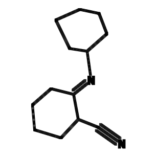 N#CC1CCCCC1=NC1CCCCC1